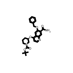 CC(C)(C)OC(=O)N1CCC[C@@H](Oc2ccnc3cc(C(N)=O)c(OCc4ccccc4)cc23)C1